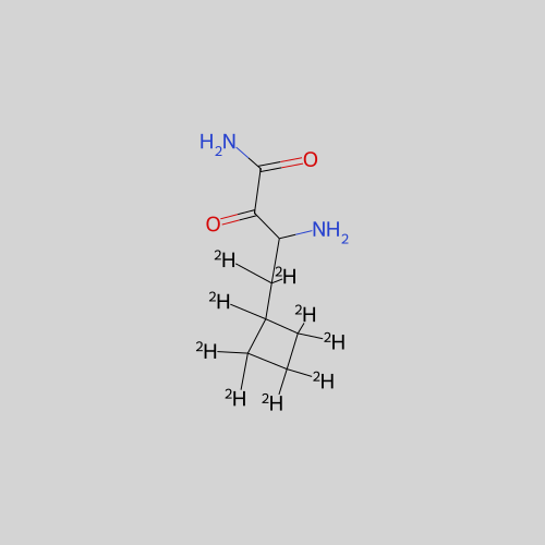 [2H]C([2H])(C(N)C(=O)C(N)=O)C1([2H])C([2H])([2H])C([2H])([2H])C1([2H])[2H]